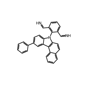 N=Cc1cccc(C=N)c1-n1c2ccc(-c3ccccc3)cc2c2c3ccccc3ccc21